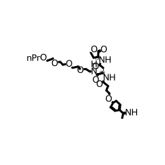 CCCOCCOCCOCCOCCNC(=O)[C@H](CC(=O)N[C@H]1CCOC1=O)NC(=O)CCCOC1C=CC(C(C)=N)=CC1